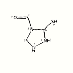 O=CN1CNNC1S